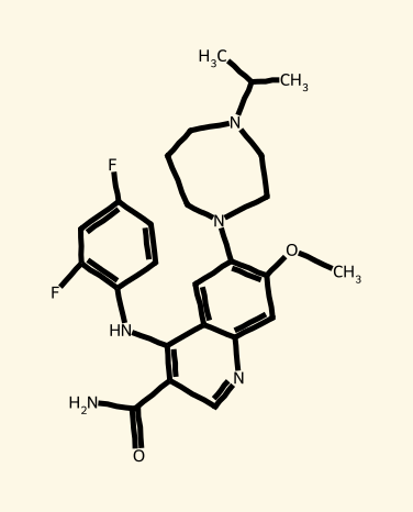 COc1cc2ncc(C(N)=O)c(Nc3ccc(F)cc3F)c2cc1N1CCCN(C(C)C)CC1